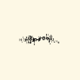 C=C(C)OC(=O)N1CCC[C@H]1c1ncc(-c2ccc(-c3csc4c(-c5ccc6nc([C@@H]7CCCN7C(=O)[C@@H](NC(=O)OC)C(C)C)[nH]c6c5)csc34)cc2)[nH]1